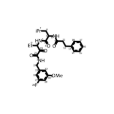 CCC(NC(=O)C(CC(C)C)NC(=O)CCc1ccccc1)C(=O)C(=O)NCc1cc(F)cc(OC)c1